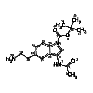 CC(=O)Nc1cn(C(=O)OC(C)(C)C)c2ccc(CCN)cc12